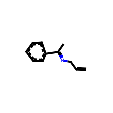 C=CC/N=C(\C)c1ccccc1